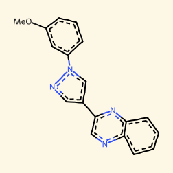 COc1cccc(-n2cc(-c3cnc4ccccc4n3)cn2)c1